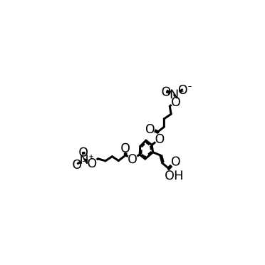 O=C(O)C=Cc1cc(OC(=O)CCCCO[N+](=O)[O-])ccc1OC(=O)CCCCO[N+](=O)[O-]